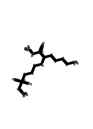 CCCCCC(SCCCC(F)(F)CC)C(=O)OC